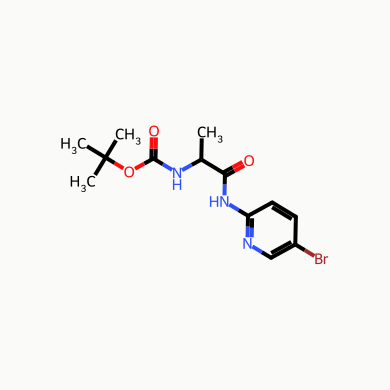 CC(NC(=O)OC(C)(C)C)C(=O)Nc1ccc(Br)cn1